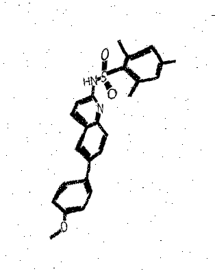 COc1ccc(-c2ccc3nc(NS(=O)(=O)c4c(C)cc(C)cc4C)ccc3c2)cc1